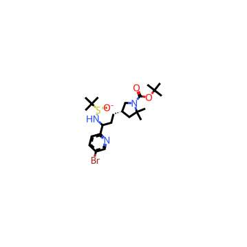 CC(C)(C)OC(=O)N1C[C@@H](CCC(N[S+]([O-])C(C)(C)C)c2ccc(Br)cn2)CC1(C)C